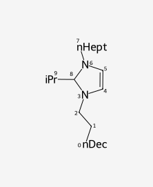 CCCCCCCCCCCCN1C=CN(CCCCCCC)C1C(C)C